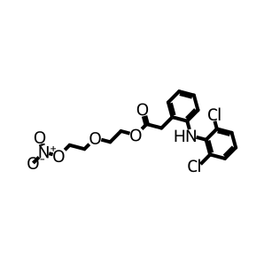 O=C(Cc1ccccc1Nc1c(Cl)cccc1Cl)OCCOCCO[N+](=O)[O-]